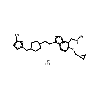 CC(C)NCc1c(OCC2CC2)ccc2c(CCC3CCN(Cc4ccc(C#N)s4)CC3)noc12.Cl.Cl